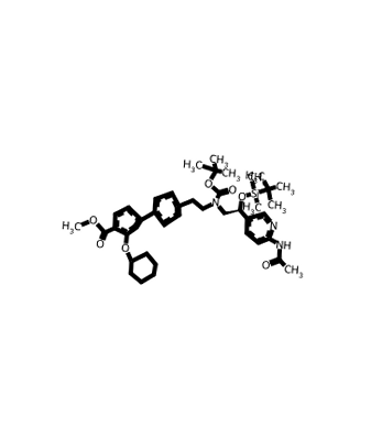 COC(=O)c1ccc(-c2ccc(CCN(C[C@@H](O[Si](C)(C)C(C)(C)C)c3ccc(NC(C)=O)nc3)C(=O)OC(C)(C)C)cc2)cc1OC1CCCCC1